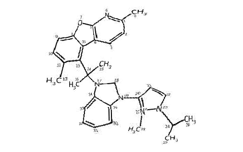 Cc1ccc2c(n1)oc1ccc(C)c(C(C)(C)N3CN(c4ccn(C(C)C)[n+]4C)c4ccccc43)c12